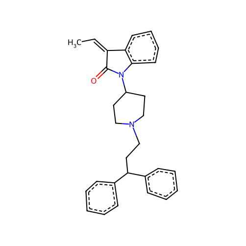 CC=C1C(=O)N(C2CCN(CCC(c3ccccc3)c3ccccc3)CC2)c2ccccc21